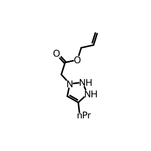 C=CCOC(=O)CN1C=C(CCC)NN1